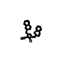 Clc1c(Cl)[n+](Cc2ccc3ccccc3n2)cn1Cc1ccc2ccccc2c1.[Br-]